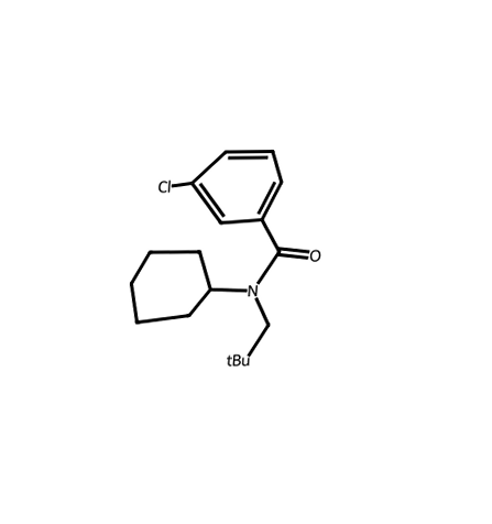 CC(C)(C)CN(C(=O)c1cccc(Cl)c1)C1CCCCC1